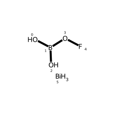 OB(O)OF.[BiH3]